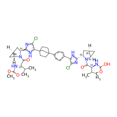 COC(=O)N[C@H](C(=O)N1[C@@H]2C[C@H]2C[C@H]1c1nc(Cl)c(C23CCC(c4ccc(-c5[nH]c([C@@H]6C[C@H]7C[C@H]7N6C(=O)[C@@H](NC(=O)O)C(C)C)nc5Cl)cc4)(CC2)CC3)[nH]1)C(C)C